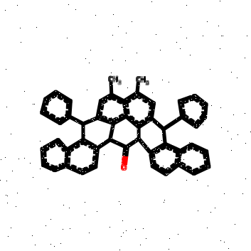 Cc1cc2c3c4c5c(cc(C)c14)C(c1ccccc1)c1c(ccc4ccccc14)C5C(=O)C3c1ccc3ccccc3c1C2c1ccccc1